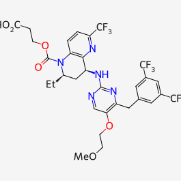 CC[C@@H]1C[C@H](Nc2ncc(OCCOC)c(Cc3cc(C(F)(F)F)cc(C(F)(F)F)c3)n2)c2nc(C(F)(F)F)ccc2N1C(=O)OCCC(=O)O